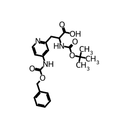 CC(C)(C)OC(=O)NC(Cc1cc(NC(=O)OCc2ccccc2)ccn1)C(=O)O